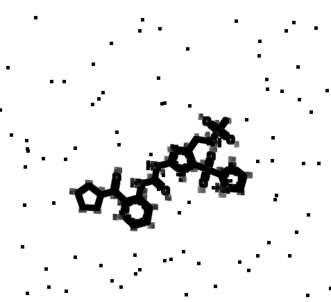 CS(=O)(=O)NCc1nc(NC(=O)Nc2cccnc2C(=O)C2CCCC2)sc1S(=O)(=O)c1ncc[nH]1